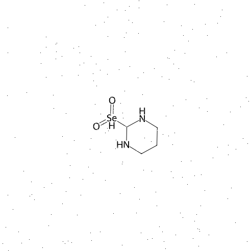 O=[SeH](=O)C1NCCCN1